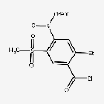 CCCCC[S+]([O-])c1cc(CC)c(C(=O)Cl)cc1S(C)(=O)=O